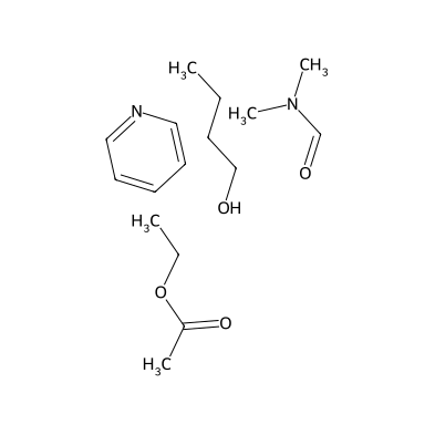 CCCCO.CCOC(C)=O.CN(C)C=O.c1ccncc1